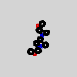 N#Cc1ccc(-n2c3ccccc3c3c4c(ccc32)oc2ccccc24)cc1-c1ccccc1-n1c2ccccc2c2c3c(ccc21)oc1ccccc13